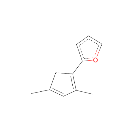 CC1=CC(C)=C(c2ccco2)C1